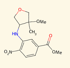 COC(=O)c1ccc([N+](=O)[O-])c(NC2COCC2(C)OC)c1